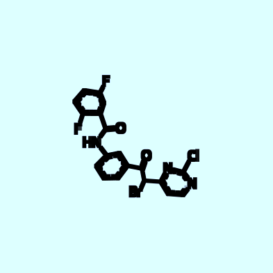 O=C(Nc1cccc(C(=O)C(Br)c2ccnc(Cl)n2)c1)c1cc(F)ccc1F